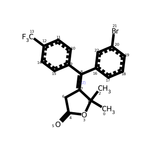 CC1(C)OC(=O)C/C1=C(\c1ccc(C(F)(F)F)cc1)c1cccc(Br)c1